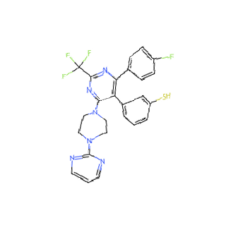 Fc1ccc(-c2nc(C(F)(F)F)nc(N3CCN(c4ncccn4)CC3)c2-c2cccc(S)c2)cc1